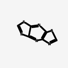 c1nc2nc3ncsc3nc2s1